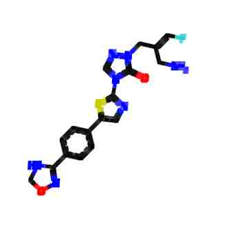 NC/C(=C\F)Cn1ncn(-c2ncc(-c3ccc(C4=NOCN4)cc3)s2)c1=O